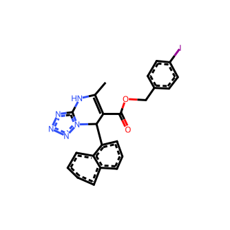 CC1=C(C(=O)OCc2ccc(I)cc2)C(c2cccc3ccccc23)n2nnnc2N1